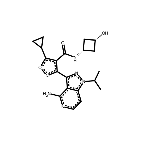 CC(C)n1nc(-c2noc(C3CC3)c2C(=O)N[C@H]2C[C@@H](O)C2)c2c(N)nccc21